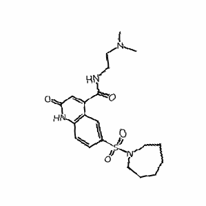 CN(C)CCNC(=O)c1cc(=O)[nH]c2ccc(S(=O)(=O)N3CCCCCC3)cc12